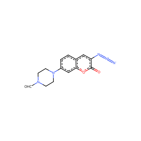 [N-]=[N+]=Nc1cc2ccc(N3CCN(C=O)CC3)cc2oc1=O